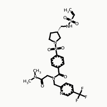 C=CS(=O)(=O)NC[C@H]1CCN(S(=O)(=O)c2ccc(C(=O)N(CC(=O)N(C)C)Cc3ccc(C(F)(F)F)cn3)cc2)C1